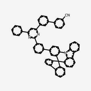 N#Cc1cccc(-c2cccc(-c3cc(-c4ccccc4)nc(-c4cccc(-c5ccc6c(c5)C5(c7ccccc7-c7ccccc75)c5cccc7c8ccccc8n-6c57)c4)n3)c2)c1